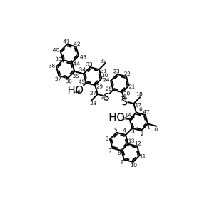 Cc1cc(-c2cccc3ccccc23)c(O)c(C(C)Sc2ccccc2SC(C)c2cc(C)cc(-c3cccc4ccccc34)c2O)c1